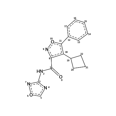 O=C(Nc1ncon1)c1noc(-c2ccccc2)c1C1CCC1